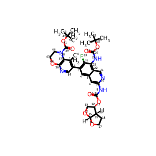 Cc1c(-c2cc3cc(NC(=O)O[C@@H]4CO[C@H]5OCC[C@H]54)ncc3c(NC(=O)OC(C)(C)C)c2F)cnc2c1N(C(=O)OC(C)(C)C)CCO2